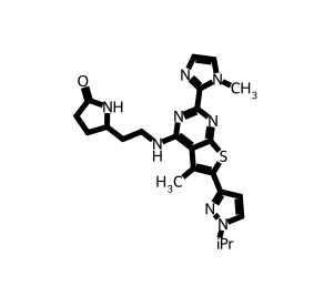 Cc1c(-c2ccn(C(C)C)n2)sc2nc(-c3nccn3C)nc(NCCC3CCC(=O)N3)c12